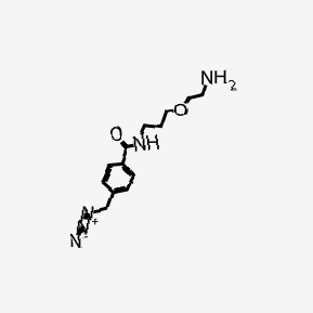 [N-]=[N+]=NCc1ccc(C(=O)NCCCOCCN)cc1